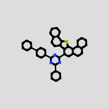 c1ccc(-c2ccc(-c3nc(-c4ccccc4)nc(-c4cc5ccc6ccccc6c5c5sc6c7ccccc7ccc6c45)n3)cc2)cc1